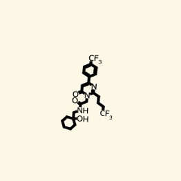 O=C(Cn1c(CCCC(F)(F)F)nc(-c2ccc(C(F)(F)F)cc2)cc1=O)NCC1(O)CCCCC1